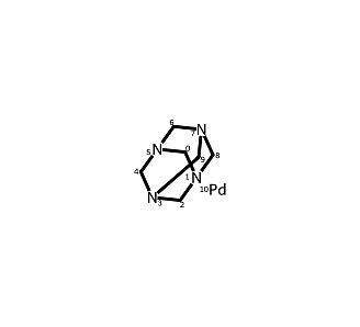 C1N2CN3CN1CN(C2)C3.[Pd]